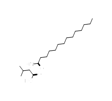 CCCCCCCCCCCCCC(=O)N[C@H](C(=O)O)C(C)C